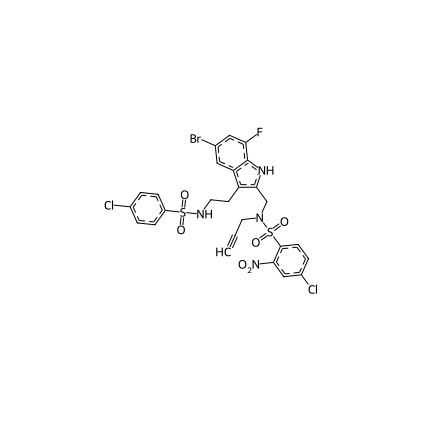 C#CCN(Cc1[nH]c2c(F)cc(Br)cc2c1CCNS(=O)(=O)c1ccc(Cl)cc1)S(=O)(=O)c1ccc(Cl)cc1[N+](=O)[O-]